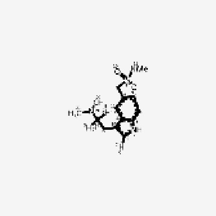 [2H]c1[nH]c2ccc(CS(=O)(=O)NC)cc2c1CC([2H])([2H])N(C)C